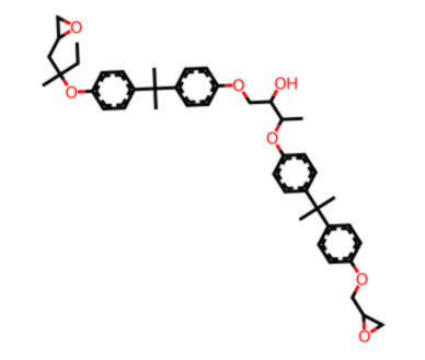 CCC(C)(CC1CO1)Oc1ccc(C(C)(C)c2ccc(OCC(O)C(C)Oc3ccc(C(C)(C)c4ccc(OCC5CO5)cc4)cc3)cc2)cc1